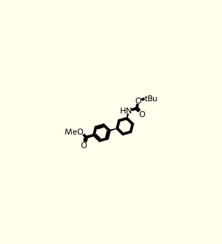 COC(=O)c1ccc([C@@H]2CCC[C@H](NC(=O)OC(C)(C)C)C2)cc1